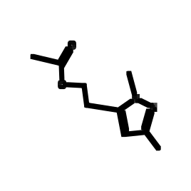 CC(=O)OCCc1cc(C)nn1C